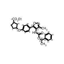 CCOC(=O)C1CCC(Oc2ccc(-c3onc(C)c3NC(=O)O[C@H](C)c3ccccc3)cc2)C1